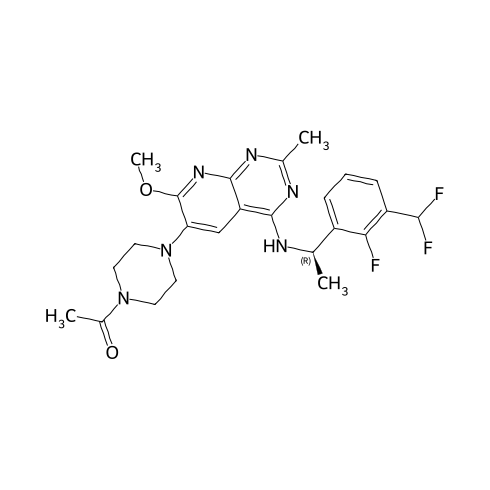 COc1nc2nc(C)nc(N[C@H](C)c3cccc(C(F)F)c3F)c2cc1N1CCN(C(C)=O)CC1